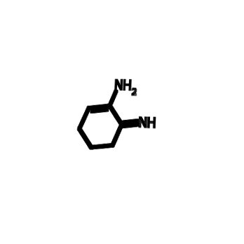 N=C1CCCC=C1N